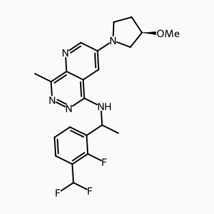 CO[C@@H]1CCN(c2cnc3c(C)nnc(NC(C)c4cccc(C(F)F)c4F)c3c2)C1